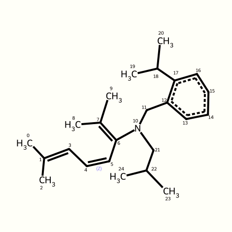 CC(C)=C/C=C\C(=C(C)C)N(Cc1ccccc1C(C)C)CC(C)C